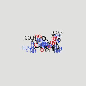 CC[C@H](C)[C@H](NC(=O)[C@H](Cc1ccc(O)cc1)NC(=O)[C@@H](NC(=O)[C@H](CCCNC(=N)N)NC(=O)[C@@H](N)CC(=O)O)C(C)C)C(=O)N[C@@H](Cc1c[nH]cn1)C(=O)N1CCC[C@H]1C(=O)N[C@H](C(=O)O)[C@@H](C)O